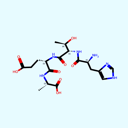 C[C@H](NC(=O)[C@H](CCC(=O)O)NC(=O)[C@@H](NC(=O)[C@@H](N)Cc1c[nH]cn1)[C@@H](C)O)C(=O)O